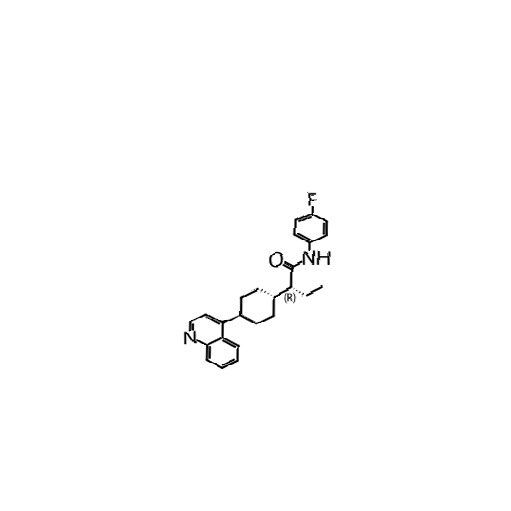 CC[C@@H](C(=O)Nc1ccc(F)cc1)[C@H]1CC[C@H](c2ccnc3ccccc32)CC1